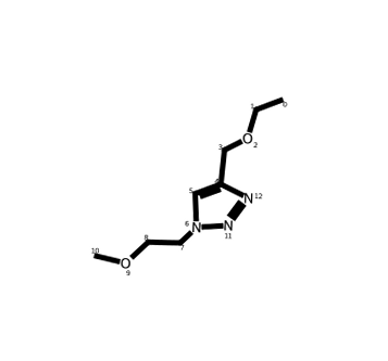 CCOCc1cn(CCOC)nn1